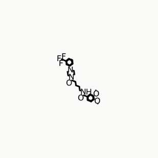 COc1ccc(C(=O)NCCCCC(=O)N2CCN(c3cccc(C(F)(F)F)c3)CC2)cc1OC